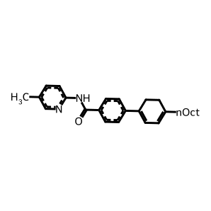 CCCCCCCCC1=CC=C(c2ccc(C(=O)Nc3ccc(C)cn3)cc2)CC1